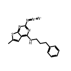 Cc1cc2c(NCCCc3ccccc3)nc(N=[N+]=[N-])nc2s1